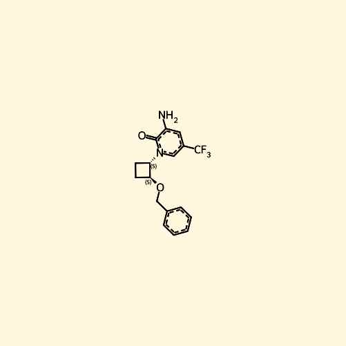 Nc1cc(C(F)(F)F)cn([C@H]2CC[C@@H]2OCc2ccccc2)c1=O